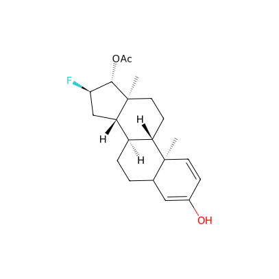 CC(=O)O[C@H]1[C@H](F)C[C@H]2[C@@H]3CCC4C=C(O)C=C[C@]4(C)[C@H]3CC[C@@]21C